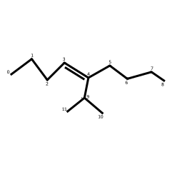 CCCC=C(CCCC)[C](C)C